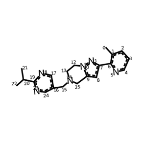 Cc1cccnc1-c1cc2n(n1)CCN(Cc1cnc(C(C)C)nc1)C2